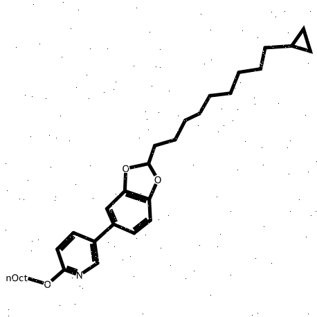 CCCCCCCCOc1ccc(-c2ccc3c(c2)OC(CCCCCCCCCC2CC2)O3)cn1